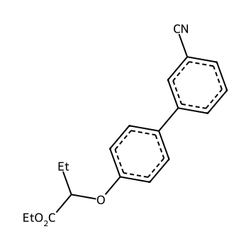 CCOC(=O)C(CC)Oc1ccc(-c2cccc(C#N)c2)cc1